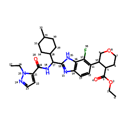 CCOC(=O)C1CCOCC1c1ccc2nc(C(NC(=O)c3ccnn3CC)C3CCC(C)CC3)[nH]c2c1F